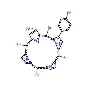 Brc1ccc(-c2cc3[nH]c2c(Br)c2nc(c(Br)c4ccc([nH]4)c(Br)c4nc(c3Br)C=C4)C=C2)cc1.[Fe+3]